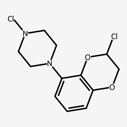 ClC1COc2cccc(N3CCN(Cl)CC3)c2O1